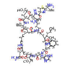 C=CCC(C)C1CC(=O)C(CCCN)NC(=O)C(CC(=O)C(NC(=O)C(CCC(=O)O)CC(=O)C(CC(C)C)NC(=O)C2CSC(C(N)C(C)CC)=N2)C(C)CC)CCCCNC(=O)C(CC(N)=O)CC(=O)C(CC(=O)O)NC(=O)C(Cc2c[nH]cn2)NC(=O)C(Cc2ccccc2)NC1=O